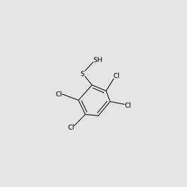 SSc1c(Cl)c(Cl)cc(Cl)c1Cl